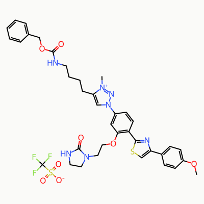 COc1ccc(-c2csc(-c3ccc(-n4cc(CCCCNC(=O)OCc5ccccc5)[n+](C)n4)cc3OCCN3CCNC3=O)n2)cc1.O=S(=O)([O-])C(F)(F)F